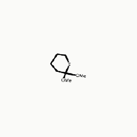 COC1(OC)CCCCS1